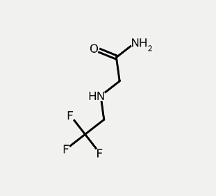 NC(=O)CNCC(F)(F)F